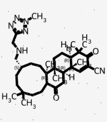 Cn1nnc(CNC[C@H]2CCC(C)(C)CCC3C(=O)C[C@@H]4[C@@]5(C)C=C(C#N)C(=O)C(C)(C)[C@@H]5CC[C@@]4(C)[C@]3(C)CC2)n1